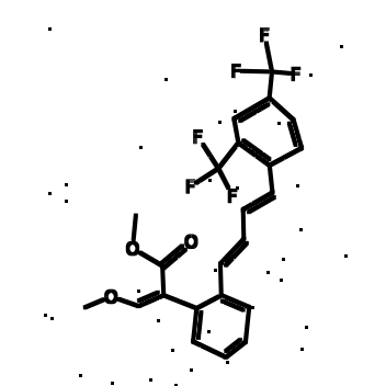 COC=C(C(=O)OC)c1ccccc1C=CC=Cc1ccc(C(F)(F)F)cc1C(F)(F)F